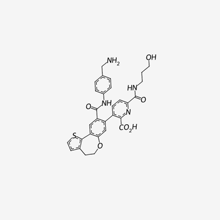 NCc1ccc(NC(=O)c2cc3c(cc2-c2ccc(C(=O)NCCCO)nc2C(=O)O)OCCc2ccsc2-3)cc1